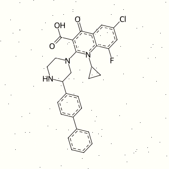 O=C(O)c1c(N2CCNC(c3ccc(-c4ccccc4)cc3)C2)n(C2CC2)c2c(F)cc(Cl)cc2c1=O